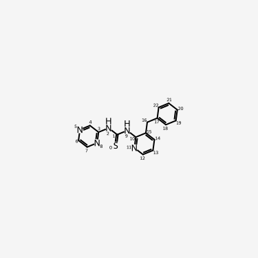 S=C(Nc1cnccn1)Nc1ncccc1Cc1ccccc1